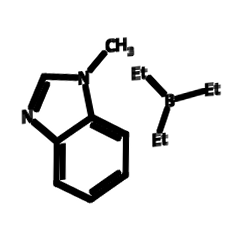 CCB(CC)CC.Cn1cnc2ccccc21